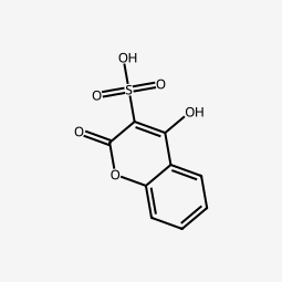 O=c1oc2ccccc2c(O)c1S(=O)(=O)O